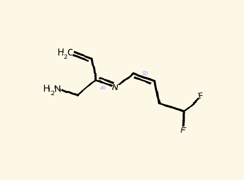 C=C/C(CN)=N\C=C/CC(F)F